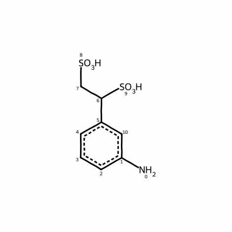 Nc1cccc(C(CS(=O)(=O)O)S(=O)(=O)O)c1